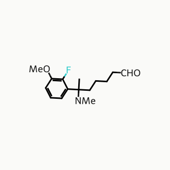 CNC(C)(CCCCC=O)c1cccc(OC)c1F